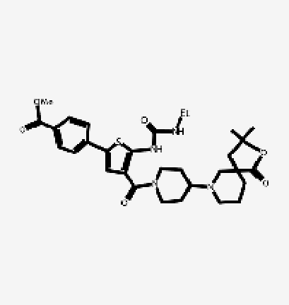 CCNC(=O)Nc1sc(-c2ccc(C(=O)OC)cc2)cc1C(=O)N1CCC(N2CCCC3(C2)CC(C)(C)OC3=O)CC1